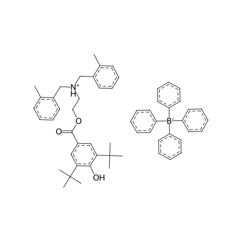 Cc1ccccc1C[NH+](CCOC(=O)c1cc(C(C)(C)C)c(O)c(C(C)(C)C)c1)Cc1ccccc1C.c1ccc([B-](c2ccccc2)(c2ccccc2)c2ccccc2)cc1